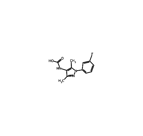 Cc1nn(-c2cccc(F)c2)c(C)c1NC(=O)O